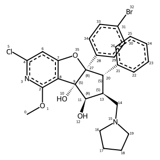 COc1nc(Cl)cc2c1[C@]1(O)[C@H](O)[C@H](CN3CCCC3)[C@@H](c3ccccc3)[C@]1(c1ccc(Br)cc1)O2